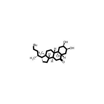 CCC(C)CC[C@@H](C)[C@H]1CC[C@H]2[C@@H]3CC(=O)[C@H]4C[C@H](O)[C@H](O)C[C@]4(C)[C@H]3CC[C@]12C